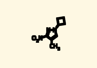 Cc1cn(C2CCC2)nc1[N+](=O)[O-]